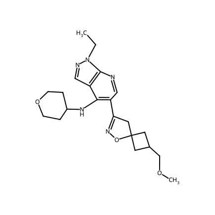 CCn1ncc2c(NC3CCOCC3)c(C3=NOC4(C3)CC(COC)C4)cnc21